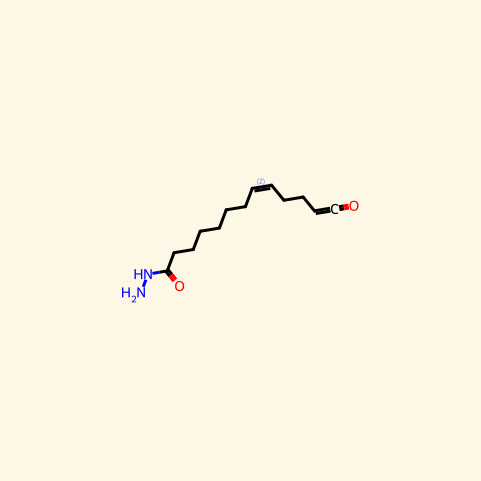 NNC(=O)CCCCCC/C=C\CCC=C=O